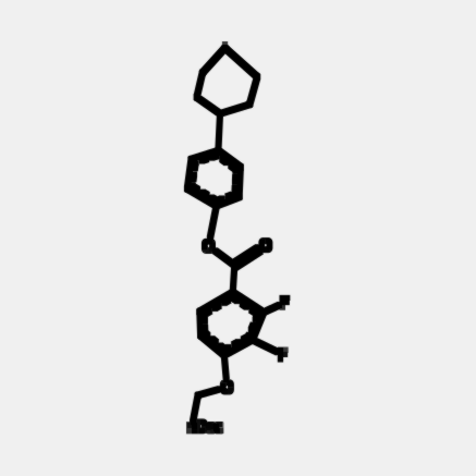 CCCCCCCCCCCOc1ccc(C(=O)Oc2ccc(C3CC[CH]CC3)cc2)c(F)c1F